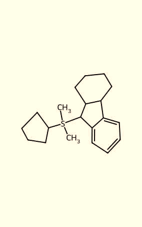 CS(C)(C1CCCC1)C1c2ccccc2C2CCCCC21